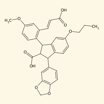 CCCOc1ccc2c(c1)C(c1ccc(OC)cc1C=CC(=O)O)C(C(=O)O)C2c1ccc2c(c1)OCO2